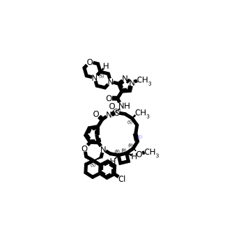 CO[C@H]1/C=C/C[C@H](C)C[S@@](=O)(NC(=O)c2cn(C)nc2N2CCN3CCOC[C@@H]3C2)=NC(=O)c2ccc3c(c2)N(C[C@@H]2CC[C@H]21)C[C@@]1(CCCc2cc(Cl)ccc21)CO3